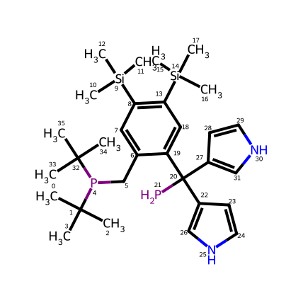 CC(C)(C)P(Cc1cc([Si](C)(C)C)c([Si](C)(C)C)cc1C(P)(c1cc[nH]c1)c1cc[nH]c1)C(C)(C)C